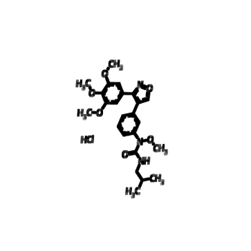 COc1cc(-c2nocc2-c2cccc(N(OC)C(=O)NCC(C)C)c2)cc(OC)c1OC.Cl